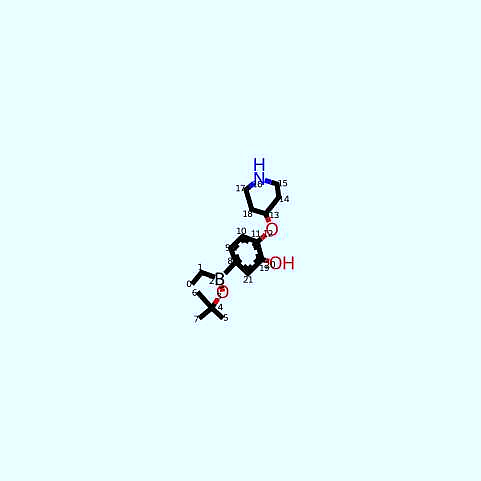 CCB(OC(C)(C)C)c1ccc(OC2CCNCC2)c(O)c1